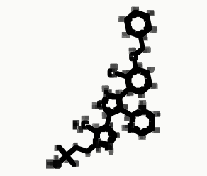 CC(C)(O)CCn1ncc(-c2onc(-c3cccc(OCc4ccccc4)c3Cl)c2-c2ncccn2)c1C(F)(F)F